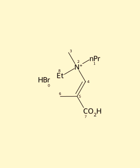 Br.CCC[N+](C)(C=C(C)C(=O)O)CC